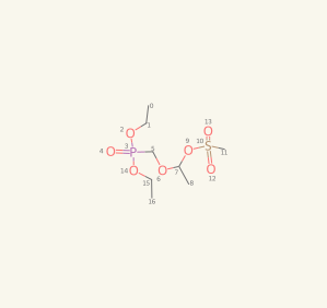 CCOP(=O)(COC(C)OS(C)(=O)=O)OCC